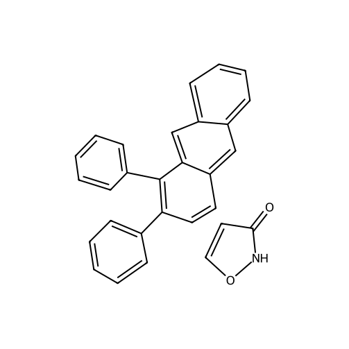 O=c1cco[nH]1.c1ccc(-c2ccc3cc4ccccc4cc3c2-c2ccccc2)cc1